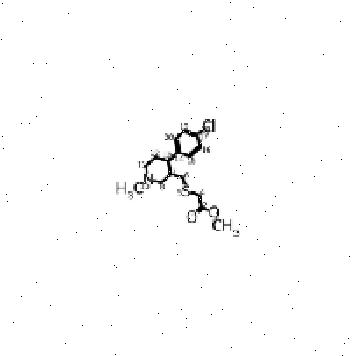 COC(=O)CSCC1CN(C)CCC1c1ccc(Cl)cc1